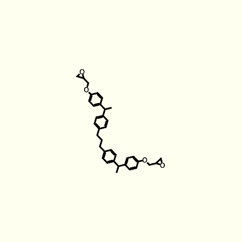 CC(c1ccc(CCCc2ccc(C(C)c3ccc(OCC4CO4)cc3)cc2)cc1)c1ccc(OCC2CO2)cc1